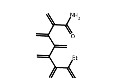 C=C(CC)C(=C)C(=C)C(=C)C(=C)C(=C)C(N)=O